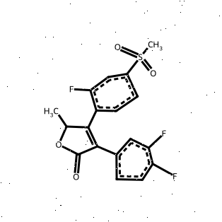 CC1OC(=O)C(c2ccc(F)c(F)c2)=C1c1ccc(S(C)(=O)=O)cc1F